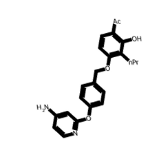 CCCc1c(OCc2ccc(Oc3cc(N)ccn3)cc2)ccc(C(C)=O)c1O